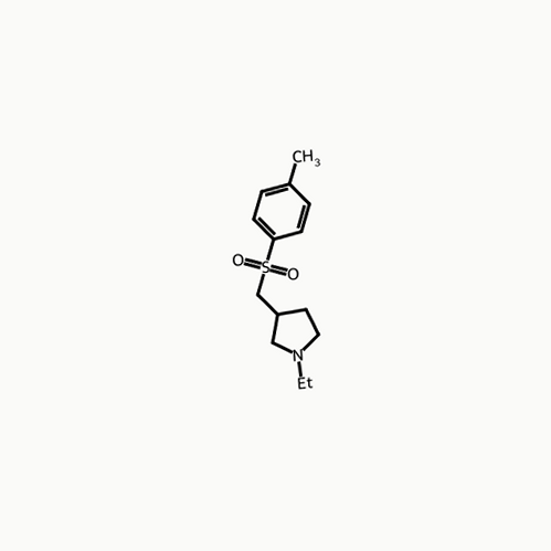 CCN1CCC(CS(=O)(=O)c2ccc(C)cc2)C1